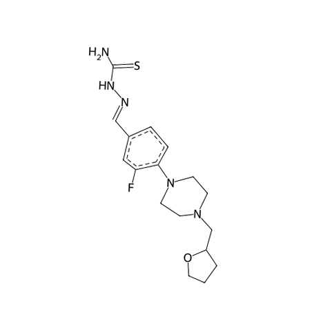 NC(=S)N/N=C/c1ccc(N2CCN(CC3CCCO3)CC2)c(F)c1